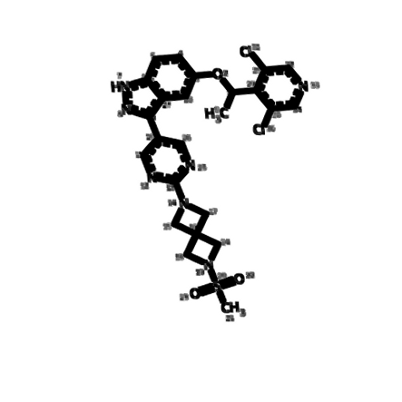 CC(Oc1ccc2[nH]nc(-c3cnc(N4CC5(C4)CN(S(C)(=O)=O)C5)nc3)c2c1)c1c(Cl)cncc1Cl